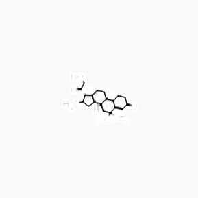 CC1C[C@H]2[C@@H]3CC(C)(O)C4=CC(=O)CC[C@]4(C)[C@H]3CC[C@]2(C)[C@H]1C(=O)CO